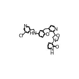 O=c1[nH]cccc1N1CCOC(c2nccc3c2Oc2ccc(NCc4cncc(Cl)c4)cc2C3)C1